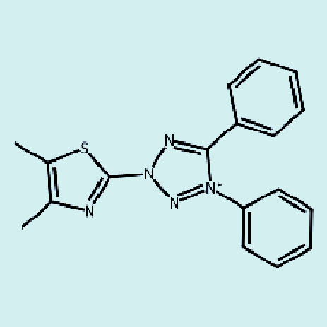 Cc1nc(-n2nc(-c3ccccc3)[n+](-c3ccccc3)n2)sc1C